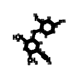 Cc1cc(N)c(Sc2ccc(F)cc2F)cc1C#N